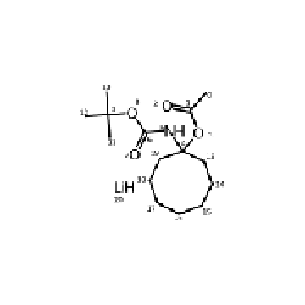 CC(=O)OC1(NC(=O)OC(C)(C)C)CCCCCCC1.[LiH]